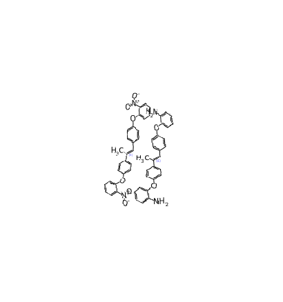 C/C(=C\c1ccc(Oc2ccccc2N)cc1)c1ccc(Oc2ccccc2N)cc1.C/C(=C\c1ccc(Oc2ccccc2[N+](=O)[O-])cc1)c1ccc(Oc2ccccc2[N+](=O)[O-])cc1